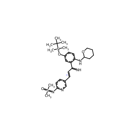 CC(C)(C)[Si](C)(C)Oc1ccc(NC2CCCCO2)c(C(=N)/C=C/c2ccc(N=S(C)(C)=O)nc2)c1